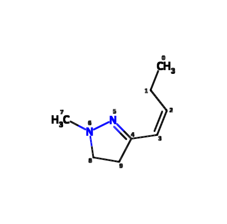 CC/C=C\C1=NN(C)CC1